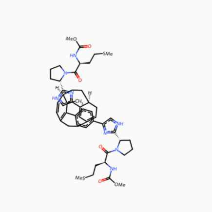 COC(=O)N[C@@H](CCSC)C(=O)N1CCC[C@H]1c1nc(C2=CC3=CC[C@@H]2CC[C@@H]2C=CC(=C(c4ccc(-c5c[nH]c([C@@H]6CCCN6C(=O)[C@H](CCSC)NC(=O)OC)n5)cc4)C2C)CC3)c[nH]1